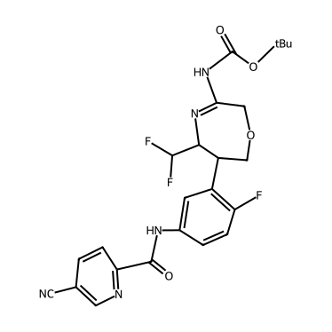 CC(C)(C)OC(=O)NC1=NC(C(F)F)C(c2cc(NC(=O)c3ccc(C#N)cn3)ccc2F)COC1